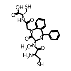 CN(C(=O)C(N)CS)C1N=C(c2ccccc2)c2ccccc2N(CC(=O)N[C@@H](CS)C(=O)O)C1=O